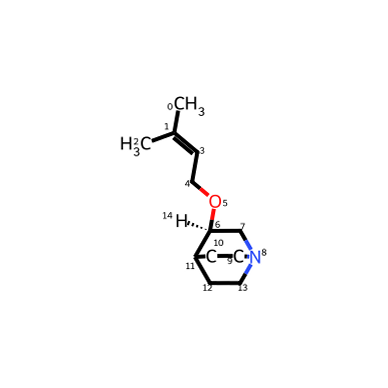 CC(C)=CCO[C@H]1CN2CCC1CC2